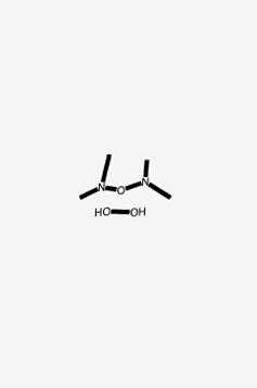 CN(C)ON(C)C.OO